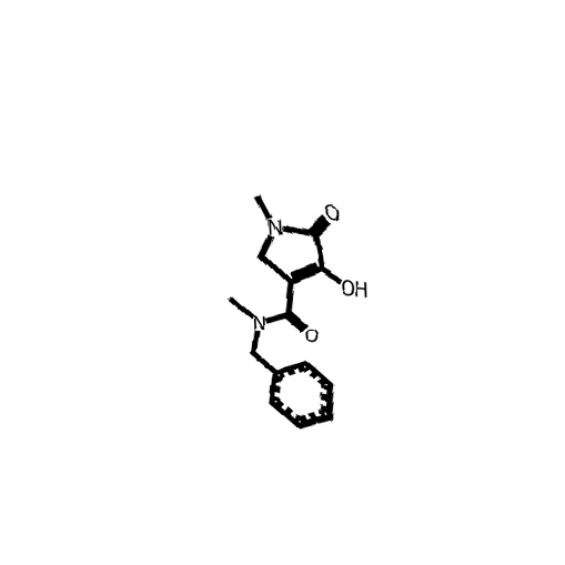 CN1CC(C(=O)N(C)Cc2ccccc2)=C(O)C1=O